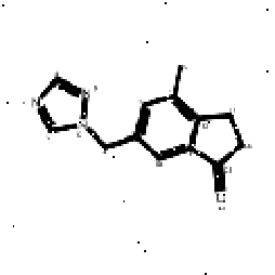 Cc1cc(Cn2cncn2)cc2c1CCC2=O